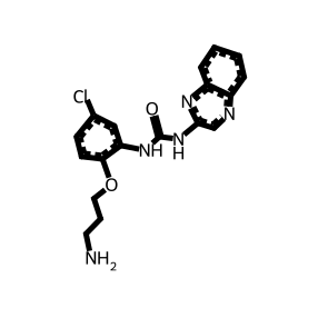 NCCCOc1ccc(Cl)cc1NC(=O)Nc1cnc2ccccc2n1